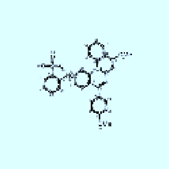 COc1ccc(C(=Cc2cc(OC)c3ccccc3[o+]2)c2ccccc2)cc1.O=[N+]([O-])c1ccccc1S(=O)(=O)[O-]